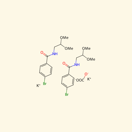 COC(CNC(=O)c1ccc(Br)cc1)OC.COC(CNC(=O)c1ccc(Br)cc1)OC.O=C([O-])[O-].[K+].[K+]